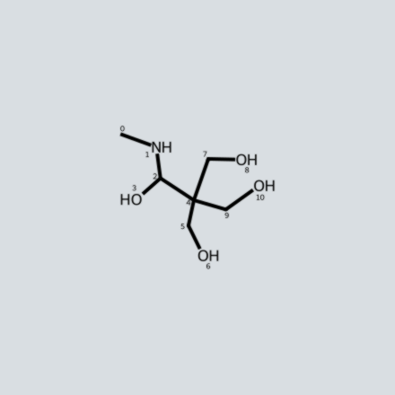 CNC(O)C(CO)(CO)CO